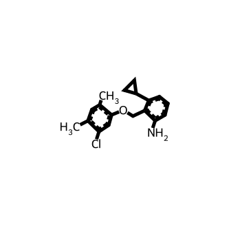 Cc1cc(C)c(OCc2c(N)cccc2C2CC2)cc1Cl